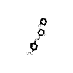 O=Cc1ccc(OC[C@@H]2C[C@H](Oc3ccccc3)CN2)cc1